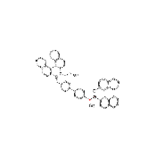 OCCOc1ccc2ccccc2c1-c1c(OCc2ccc(-c3ccc(COc4ccc5ccccc5c4-c4c(OCCO)ccc5ccccc45)cc3)cc2)ccc2ccccc12